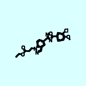 CCOC(=O)CCn1ncc2cc(-c3noc(-c4ccc(OC)c(Cl)c4)n3)ccc21